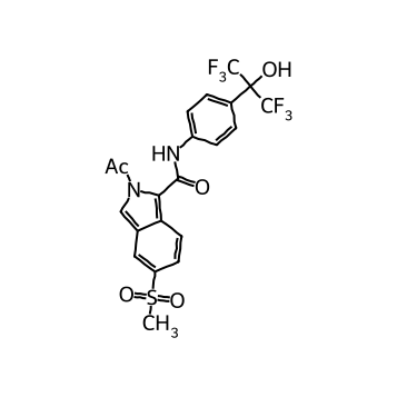 CC(=O)n1cc2cc(S(C)(=O)=O)ccc2c1C(=O)Nc1ccc(C(O)(C(F)(F)F)C(F)(F)F)cc1